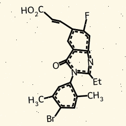 CCc1nc2cc(F)c(C=CC(=O)O)cc2c(=O)n1-c1cc(C)c(Br)cc1C